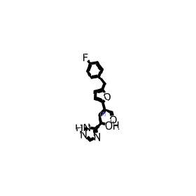 O=C/C(=C\C(O)c1ncn[nH]1)c1ccc(Cc2ccc(F)cc2)o1